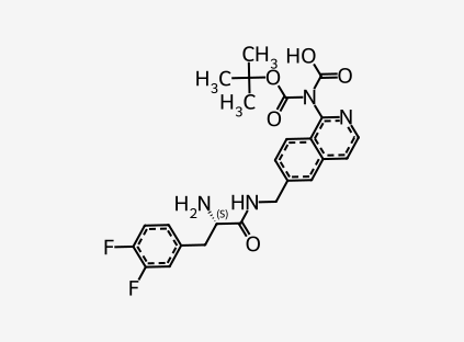 CC(C)(C)OC(=O)N(C(=O)O)c1nccc2cc(CNC(=O)[C@@H](N)Cc3ccc(F)c(F)c3)ccc12